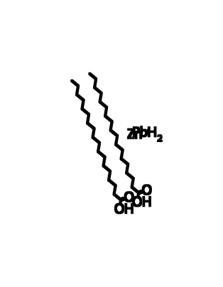 CCCCCCCCCCCCCCCCCC(=O)O.CCCCCCCCCCCCCCCCCC(=O)O.[PbH2].[Zn]